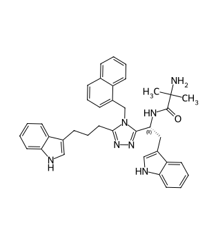 CC(C)(N)C(=O)N[C@H](Cc1c[nH]c2ccccc12)c1nnc(CCCc2c[nH]c3ccccc23)n1Cc1cccc2ccccc12